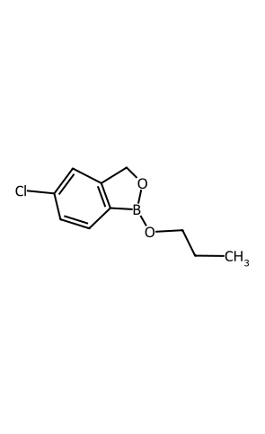 CCCOB1OCc2cc(Cl)ccc21